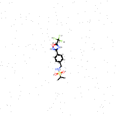 CC(C)S(=O)(=O)NCc1ccc(-c2noc(C(F)(F)F)n2)cc1